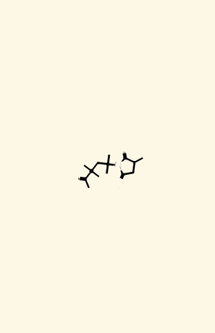 CC(=O)C(C)(C)CC(C)(C)N1C(=O)CC(C)C1=O